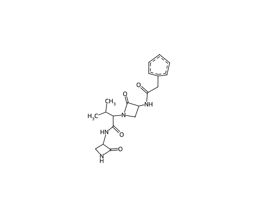 CC(C)C(C(=O)NC1CNC1=O)N1CC(NC(=O)Cc2ccccc2)C1=O